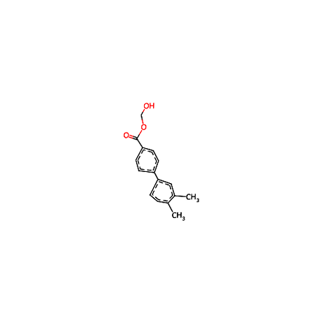 Cc1ccc(-c2ccc(C(=O)OCO)cc2)cc1C